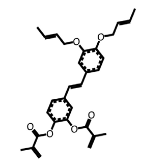 C=C(C)C(=O)Oc1ccc(/C=C/c2ccc(OC/C=C/C)c(OC/C=C/C)c2)cc1OC(=O)C(=C)C